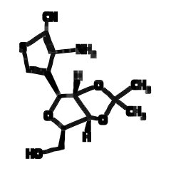 CC1(C)O[C@@H]2[C@H](O1)[C@@H](CO)O[C@H]2c1csc(C#N)c1N